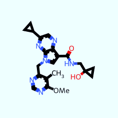 COc1ncnc(Cn2cc(C(=O)NCC3(O)CC3)c3ncc(C4CC4)nc32)c1C